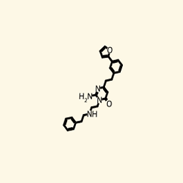 Nc1nc(CCc2cccc(-c3ccco3)c2)cc(=O)n1CCNCCc1ccccc1